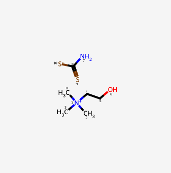 C[N+](C)(C)CCO.NC(=S)[S-]